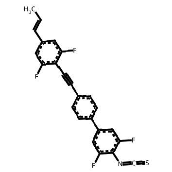 C/C=C/c1cc(F)c(C#Cc2ccc(-c3cc(F)c(N=C=S)c(F)c3)cc2)c(F)c1